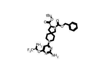 CC(C)(C)OC(=O)[C@@H]1CC2(CCN(c3cc(O[C@H](P)C(F)(F)F)nc(N)n3)CC2)CN1C(=O)OCc1ccccc1